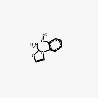 CCOc1ccccc1N1C=COC1N